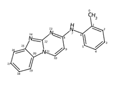 Cc1ccccc1Nc1ccn2c(n1)nc1ccccc12